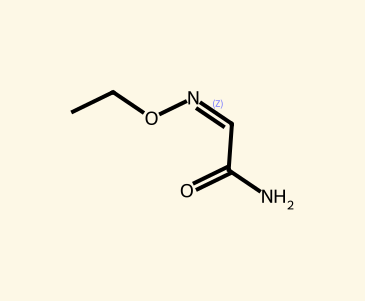 CCO/N=C\C(N)=O